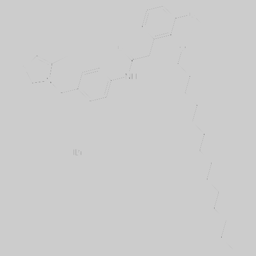 Br.CCCCCCCCCCCCCCOc1c(CC(=O)Nc2ccc(CN3CSC=C3C)cc2)cccc1OC